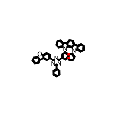 c1ccc(-c2nc(-c3cccc(-n4c5ccccc5c5ccc6c7ccccc7n(-c7ccccc7)c6c54)c3)nc(-c3ccc4oc5ccccc5c4c3)n2)cc1